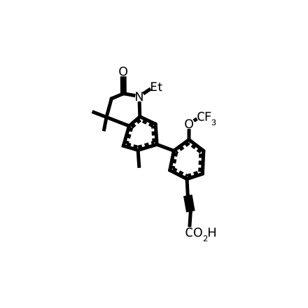 CCN1C(=O)CC(C)(C)c2cc(C)c(-c3cc(C#CC(=O)O)ccc3OC(F)(F)F)cc21